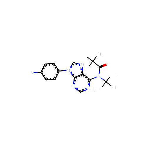 CC(C)(C)C(=O)N(c1ncnc2c1ncn2-c1ccc(N)cc1)C(C)(C)C